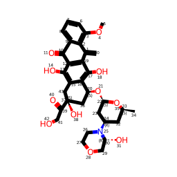 C=C1c2c(OC)cccc2C(=O)c2c(O)c3c(c(O)c21)[C@@H](O[C@H]1C[C@H](N2CCOC[C@H]2O)C[C@H](C)O1)C[C@](O)(C(=O)CO)C3